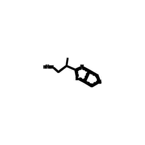 CCCCCCCC(C)c1nc2cscc2s1